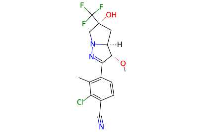 CO[C@@H]1C(c2ccc(C#N)c(Cl)c2C)=NN2C[C@@](O)(C(F)(F)F)C[C@@H]12